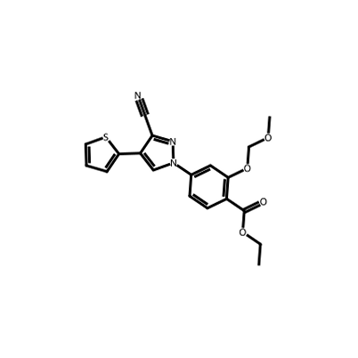 CCOC(=O)c1ccc(-n2cc(-c3cccs3)c(C#N)n2)cc1OCOC